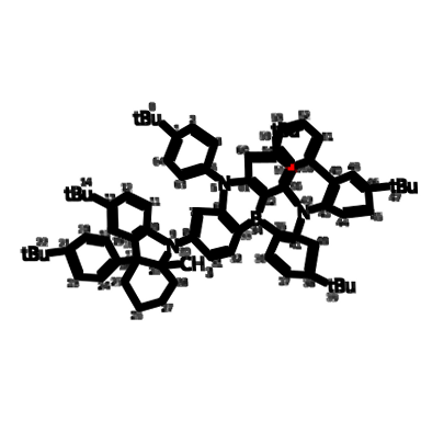 CC(C)(C)c1ccc(N2c3cc(N4c5ccc(C(C)(C)C)cc5C5(c6ccc(C(C)(C)C)cc6)CCCCC45C)ccc3B3c4ccc(C(C)(C)C)cc4N(c4ccc(C(C)(C)C)cc4-c4ccccc4)c4cc(C(C)(C)C)cc2c43)cc1